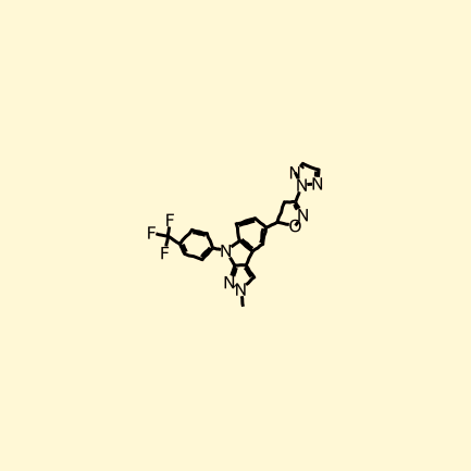 Cn1cc2c3cc(C4CC(n5nccn5)=NO4)ccc3n(-c3ccc(C(F)(F)F)cc3)c2n1